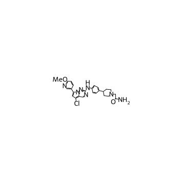 COc1ccc(-c2cc(Cl)c3cnc(Nc4ccc(C5CCN(CC(N)=O)CC5)cc4)nn23)cn1